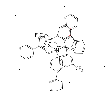 FC(F)(F)c1ccc2c(c1)C1(c3cc(C(F)(F)F)ccc3-2)c2ccccc2-c2cccc(-c3ccc(-c4ccccc4)cc3N(c3ccc(-c4ccccc4)cc3)c3cccc(-c4ccccc4)c3)c21